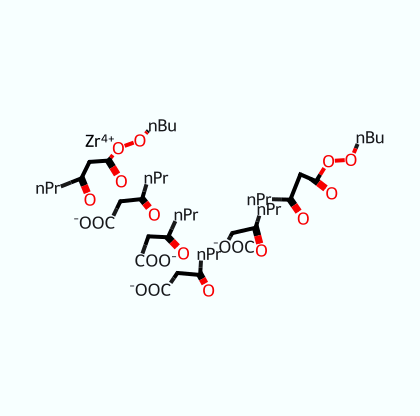 CCCC(=O)CC(=O)[O-].CCCC(=O)CC(=O)[O-].CCCC(=O)CC(=O)[O-].CCCC(=O)CC(=O)[O-].CCCCOOC(=O)CC(=O)CCC.CCCCOOC(=O)CC(=O)CCC.[Zr+4]